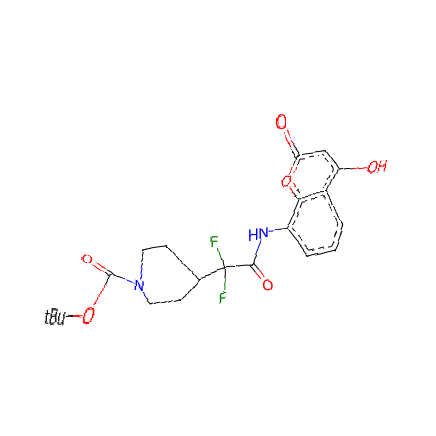 CC(C)(C)OC(=O)N1CCC(C(F)(F)C(=O)Nc2cccc3c(O)cc(=O)oc23)CC1